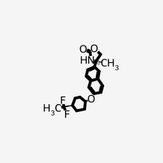 CC(F)(F)[C@H]1CC[C@@H](Oc2ccc3cc([C@]4(C)COC(=O)N4)ccc3c2)CC1